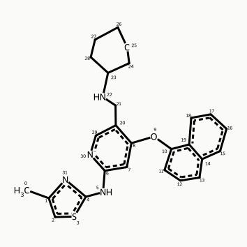 Cc1csc(Nc2cc(Oc3cccc4ccccc34)c(CNC3CCCCC3)cn2)n1